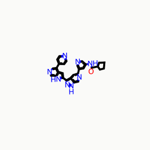 O=C(Nc1cncc(-c2cc3c(-c4cc5c(-c6ccncc6)cncc5[nH]4)n[nH]c3cn2)c1)C1CCCC1